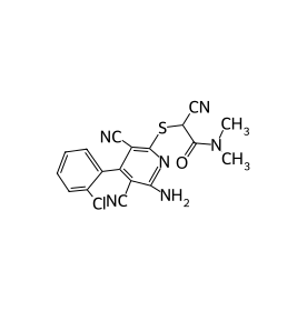 CN(C)C(=O)C(C#N)Sc1nc(N)c(C#N)c(-c2ccccc2Cl)c1C#N